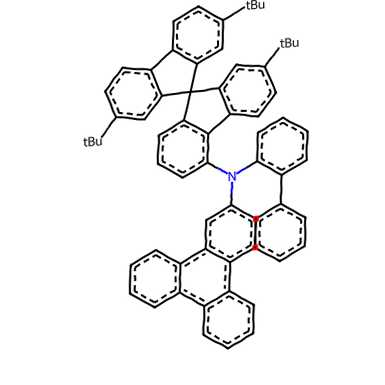 CC(C)(C)c1ccc2c(c1)C1(c3cc(C(C)(C)C)ccc3-2)c2cc(C(C)(C)C)ccc2-c2c(N(c3ccc4c5ccccc5c5ccccc5c4c3)c3ccccc3-c3ccccc3)cccc21